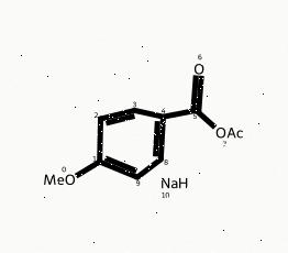 COc1ccc(C(=O)OC(C)=O)cc1.[NaH]